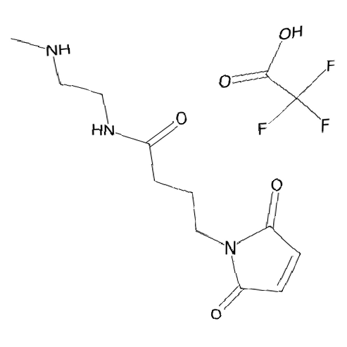 CNCCNC(=O)CCCN1C(=O)C=CC1=O.O=C(O)C(F)(F)F